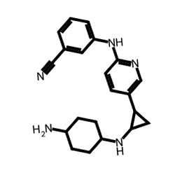 N#Cc1cccc(Nc2ccc(C3CC3NC3CCC(N)CC3)cn2)c1